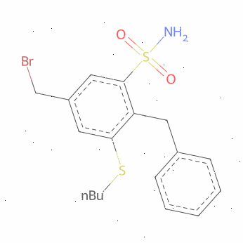 CCCCSc1cc(CBr)cc(S(N)(=O)=O)c1Cc1ccccc1